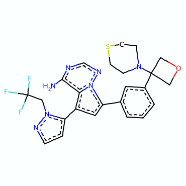 Nc1ncnn2c(-c3cccc(C4(N5CCSCC5)COC4)c3)cc(-c3ccnn3CC(F)(F)F)c12